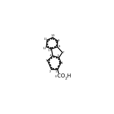 O=C(O)c1ccc2c(c1)Cc1ccccc1-2